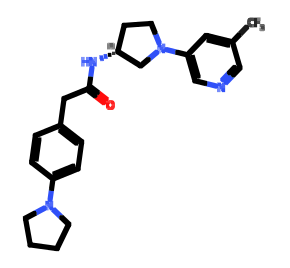 O=C(Cc1ccc(N2CCCC2)cc1)N[C@@H]1CCN(c2cncc(C(F)(F)F)c2)C1